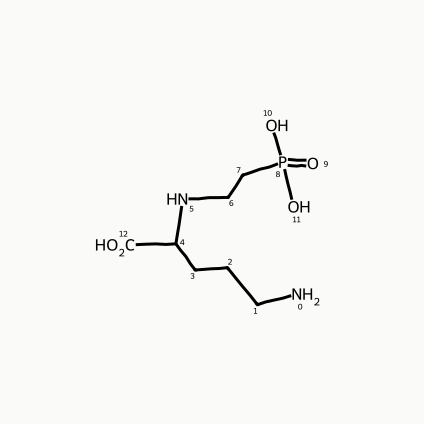 NCCCC(NCCP(=O)(O)O)C(=O)O